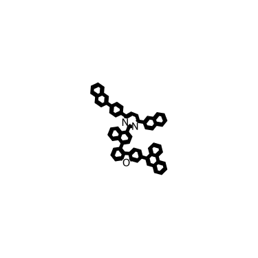 C1=C(c2ccc(-c3ccc4ccccc4c3)cc2)N=C(c2ccc(-c3cccc4oc5cc(-c6cc7ccccc7c7ccccc67)ccc5c34)c3ccccc23)N=C(c2ccc3ccccc3c2)C1